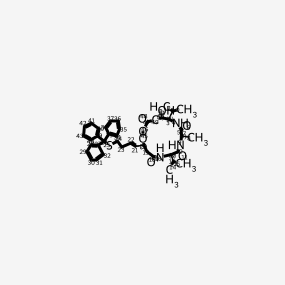 CC(C)[C@H]1NC(=O)[C@@H](C)NC(=O)[C@@H](C(C)C)NC(=O)C[C@@H](C=CCCSC(c2ccccc2)(c2ccccc2)c2ccccc2)OOC(=O)C[C@@H]1O